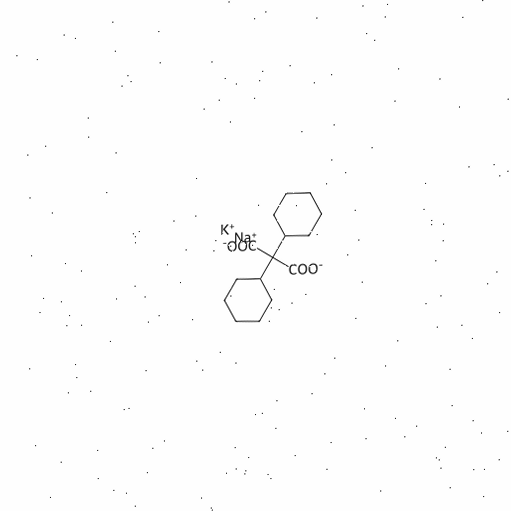 O=C([O-])C(C(=O)[O-])(C1CCCCC1)C1CCCCC1.[K+].[Na+]